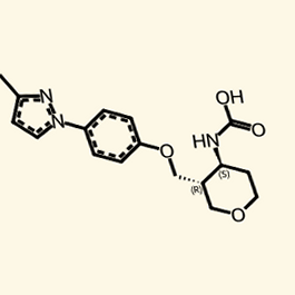 Cc1ccn(-c2ccc(OC[C@H]3COCC[C@@H]3NC(=O)O)cc2)n1